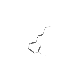 COc1cccc(C=CC[O])c1